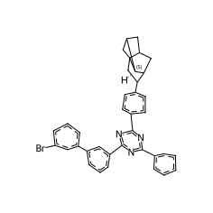 Brc1cccc(-c2cccc(-c3nc(-c4ccccc4)nc(-c4ccc(C5CC67CC8CC6CC5[C@H]87)cc4)n3)c2)c1